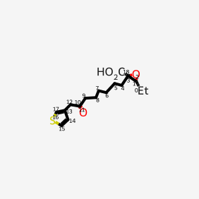 CCC1OC1(CCCCCCC(=O)Cc1ccsc1)C(=O)O